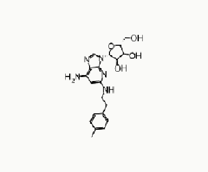 Cc1ccc(CCNc2cc(N)c3ncn([C@@H]4O[C@H](CO)[C@@H](O)[C@H]4O)c3n2)cc1